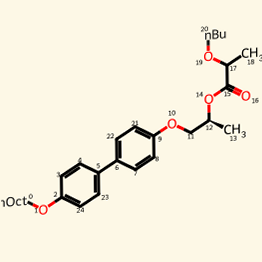 CCCCCCCCOc1ccc(-c2ccc(OC[C@H](C)OC(=O)C(C)OCCCC)cc2)cc1